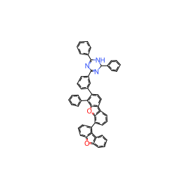 c1ccc(C2=NC(c3cccc(-c4ccc5c(oc6c(-c7cccc8oc9ccccc9c78)cccc65)c4-c4ccccc4)c3)=NC(c3ccccc3)N2)cc1